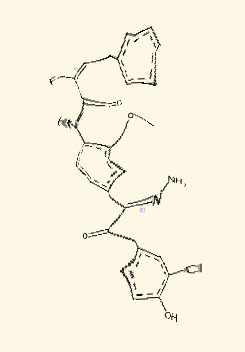 COc1cc(/C(=N\N)C(=O)c2ccc(O)c(Cl)c2)ccc1NC(=O)/C(F)=C\c1ccccc1